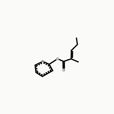 CCC=C(C)C(=O)Oc1ccccn1